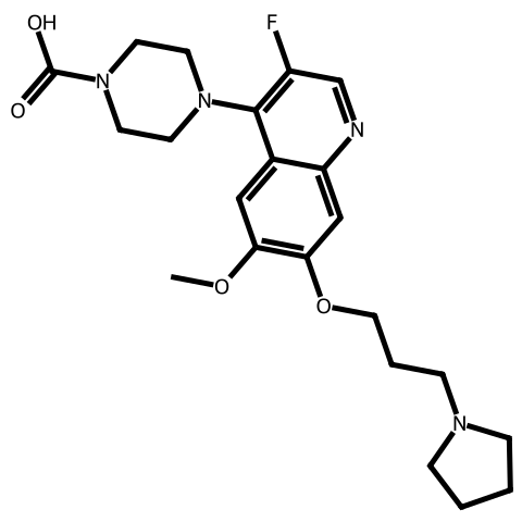 COc1cc2c(N3CCN(C(=O)O)CC3)c(F)cnc2cc1OCCCN1CCCC1